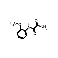 NC(=O)C(=O)Nc1ccccc1OC(F)(F)F